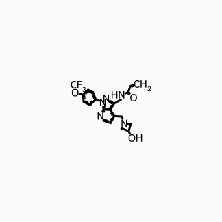 C=CC(=O)NCc1nn(-c2ccc(OC(F)(F)F)cc2)c2nccc(CN3CC(O)C3)c12